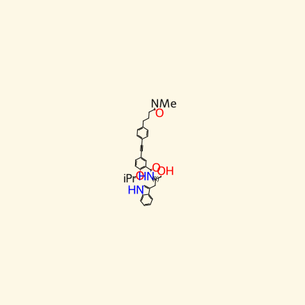 CNC(=O)CCCc1ccc(C#Cc2ccc(OC(C)C)c(C(=O)N[C@@H](CO)Cc3c[nH]c4ccccc34)c2)cc1